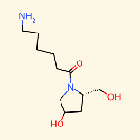 NCCCCCC(=O)N1CC(O)C[C@H]1CO